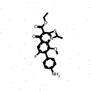 CCOC(=O)c1c2n(c3c(OC)c(-c4ccc(N)cc4)c(F)cc3c1=O)C(C)S2